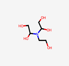 OCCN(C(O)CO)C(O)CO